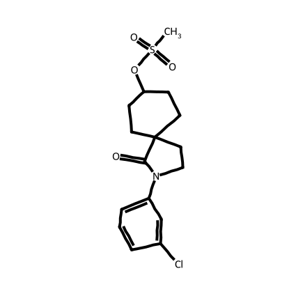 CS(=O)(=O)OC1CCC2(CC1)CCN(c1cccc(Cl)c1)C2=O